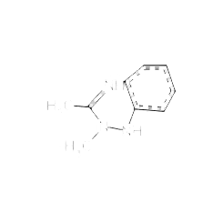 CC(=N)N(C)Nc1ccccc1